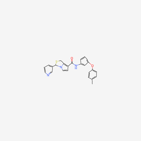 Cc1ccc(Oc2cccc(NC(=O)c3ccn4c3CSC4c3cccnc3)c2)cc1